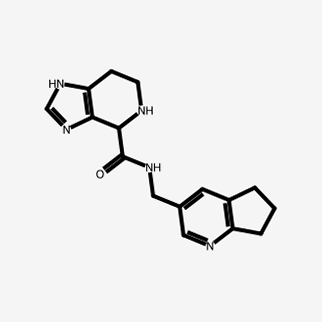 O=C(NCc1cnc2c(c1)CCC2)C1NCCc2[nH]cnc21